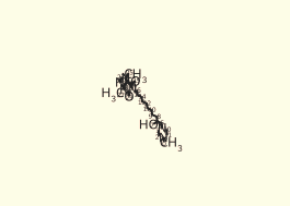 CN1CCN(CC(O)CCCCCCCCCn2c(=O)c3c(ncn3C)n(C)c2=O)CC1